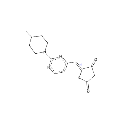 CC1CCN(c2nccc(/C=C3\SC(=O)CC3=O)n2)CC1